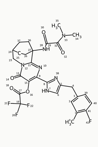 Cc1cc(Cc2c[nH]c(-c3nc4n(c(=O)c3OC(=O)C(F)(F)F)CC3CCC4(NC(=O)C(=O)N(C)C)CC3)n2)ccc1F